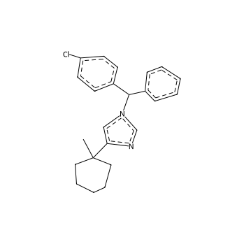 CC1(c2cn(C(c3ccccc3)c3ccc(Cl)cc3)cn2)CCCCC1